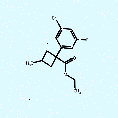 CCOC(=O)C1(c2cc(F)cc(Br)c2)CC(C)C1